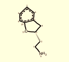 NCC[C@H]1Cc2ccccc2O1